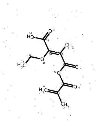 C=C(C)C(=O)OC(=O)C(C)=C(OCC)C(=O)O